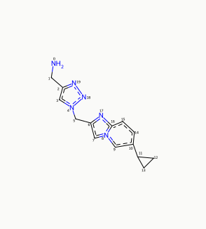 NCc1cn(Cc2cn3cc(C4CC4)ccc3n2)nn1